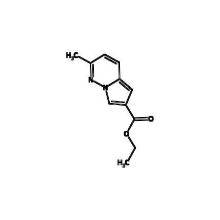 CCOC(=O)c1cc2ccc(C)nn2c1